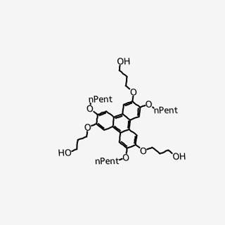 CCCCCOc1cc2c(cc1OCCCO)c1cc(OCCCCC)c(OCCCO)cc1c1cc(OCCCCC)c(OCCCO)cc21